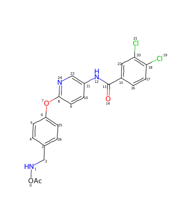 CC(=O)ONCc1ccc(Oc2ccc(NC(=O)c3ccc(Cl)c(Cl)c3)cn2)cc1